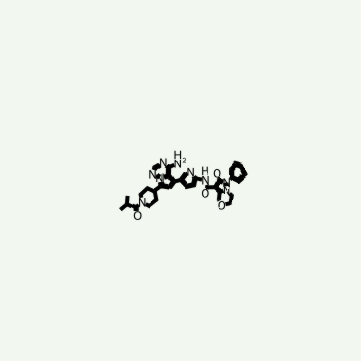 CC(C)C(=O)N1CCC(c2cc(-c3ccc(NC(=O)c4c5n(n(-c6ccccc6)c4=O)CCOC5)nc3)c3c(N)ncnn23)CC1